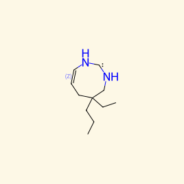 CCCC1(CC)C/C=C\N[C]NC1